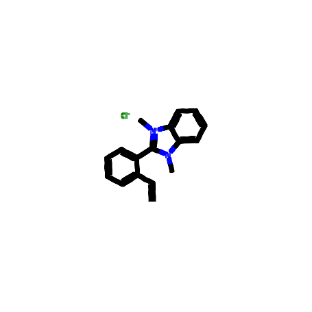 C=Cc1ccccc1-c1n(C)c2ccccc2[n+]1C.[Cl-]